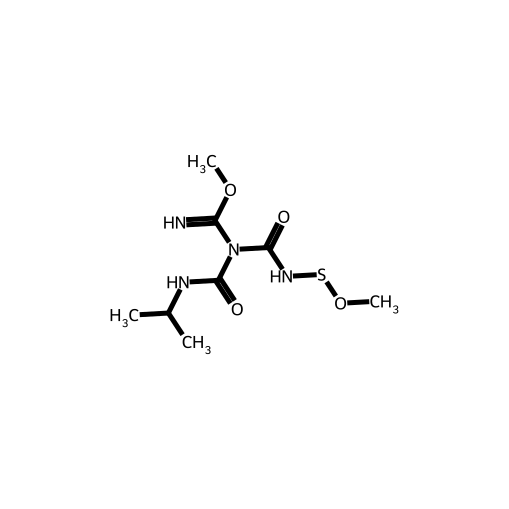 COSNC(=O)N(C(=N)OC)C(=O)NC(C)C